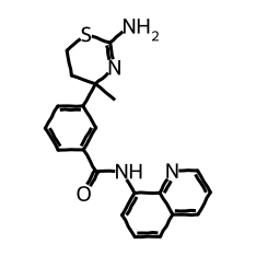 CC1(c2cccc(C(=O)Nc3cccc4cccnc34)c2)CCSC(N)=N1